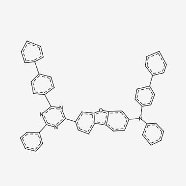 c1ccc(-c2ccc(-c3nc(-c4ccccc4)nc(-c4ccc5c(c4)oc4cc(N(c6ccccc6)c6ccc(-c7ccccc7)cc6)ccc45)n3)cc2)cc1